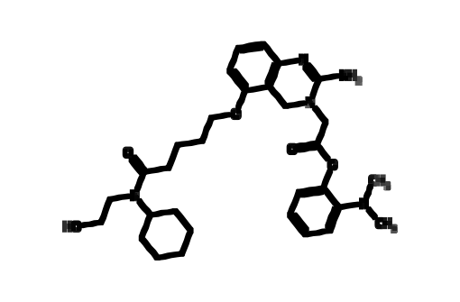 CN(C)c1ccccc1OC(=O)CN1Cc2c(cccc2OCCCCC(=O)N(CCO)C2CCCCC2)N=C1N